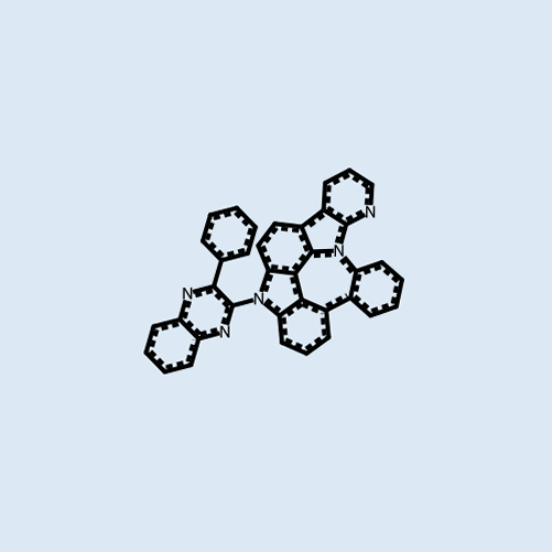 c1ccc(-c2nc3ccccc3nc2-n2c3cccc4c5ccccc5n5c6ncccc6c6ccc2c(c43)c65)cc1